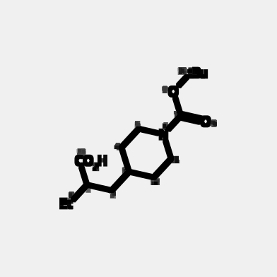 CCC(CC1CCN(C(=O)OC(C)(C)C)CC1)C(=O)O